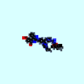 Cn1cnc(Cn2cc(CN3CCN(CCNC(=O)OC(C)(C)C)CC3)c3ccc(CNCc4[nH]c5ccccc5c4C4NC(=O)c5ccc(O)cc54)cc32)c1